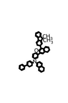 CC1(C)C2=CC(c3c4c(cc5c3oc3ccc(N(C6=CC=C(c7ccccc7)CC6)c6ccc7c(c6)C=CCC7)cc35)CCC=C4)CC=C2c2ccccc21